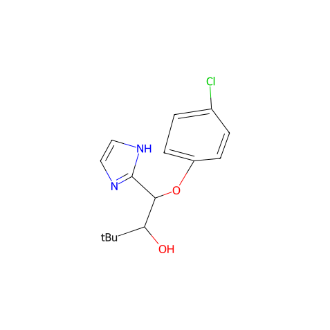 CC(C)(C)C(O)C(Oc1ccc(Cl)cc1)c1ncc[nH]1